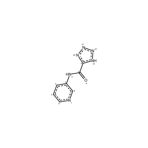 O=C(Nc1cccnc1)c1nnn[nH]1